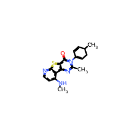 CNc1ccnc2sc3c(=O)n(C4=CCC(C)C=C4)c(C)nc3c12